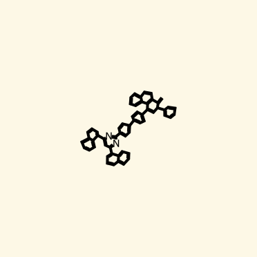 C=C1c2ccc3ccccc3c2C(c2ccc(-c3ccc(-c4nc(-c5cccc6ccccc56)cc(-c5cccc6ccccc56)n4)cc3)cc2)=CC1c1ccccc1